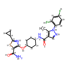 Cc1c(C(=O)N[C@H]2CC[C@H](Oc3nc(C4CC4)sc3C(N)=O)CC2)cnn1-c1ccc(F)cc1F